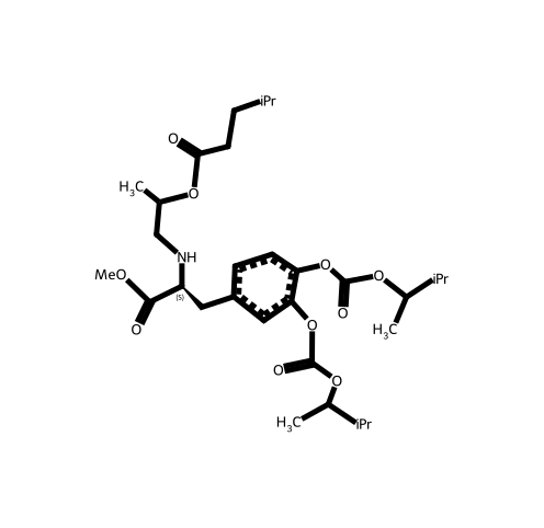 COC(=O)[C@H](Cc1ccc(OC(=O)OC(C)C(C)C)c(OC(=O)OC(C)C(C)C)c1)NCC(C)OC(=O)CCC(C)C